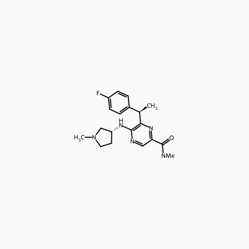 CNC(=O)c1cnc(N[C@@H]2CCN(C)C2)c([C@H](C)c2ccc(F)cc2)n1